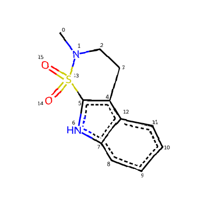 CN1CCc2c([nH]c3ccccc23)S1(=O)=O